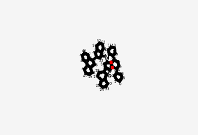 c1ccc(-c2ccc(-c3ccccc3N(c3ccc4sc5c6ccccc6ccc5c4c3)c3cc(-c4cc5ccccc5c5ccccc45)cc4ccccc34)cc2)cc1